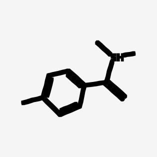 C=C(c1ccc(C)cc1)[SiH](C)C